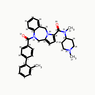 Cc1ccccc1-c1ccc(C(=O)N2Cc3ccc(C(=O)N(C)C4CCN(C)CC4)n3Cc3ccccc32)cc1